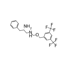 N[C@H](CNCOCc1cc(C(F)(F)F)cc(C(F)(F)F)c1)Cc1ccccc1